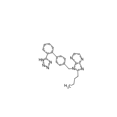 CCCCc1nc2nccnc2n1Cc1ccc(-c2ccccc2-c2nnn[nH]2)cc1